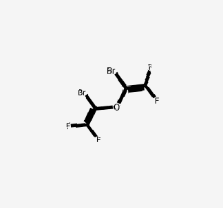 FC(F)=C(Br)OC(Br)=C(F)F